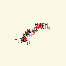 CC(C)(C)OC(=O)COc1ccc(C(=O)CNC(=O)c2cc3c(s2)CCN(C(=O)OC(C)(C)C)C3)cc1